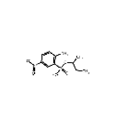 CCC(C)OP(=O)(O)c1cc([N+](=O)[O-])ccc1N